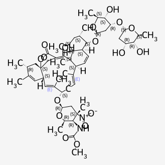 COC(=O)N[C@H]1[C@@H](C)O[C@@H](O[C@H]2C/C=C(\C)[C@@H]3C=C[C@@H]4[C@@H](O[C@H]5C[C@@H](O[C@H]6C[C@@H](O)[C@@H](O)[C@H](C)O6)[C@@H](O)[C@H](C)O5)[C@@H](C)C[C@H](C)[C@H]4[C@]3(C)C(O)=C3C(=O)O[C@]4(C[C@@H](C)C(C)=C[C@H]4/C=C/2C)C3=O)C[C@]1(C)[N+](=O)[O-]